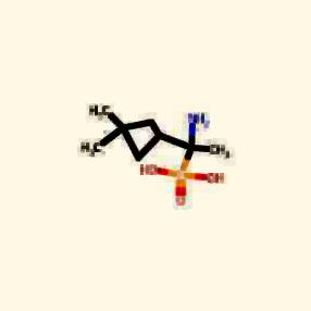 CC1(C)CC(C(C)(N)P(=O)(O)O)C1